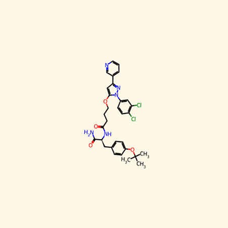 CC(C)(C)Oc1ccc(C[C@H](NC(=O)CCCOc2cc(-c3cccnc3)nn2-c2ccc(Cl)c(Cl)c2)C(N)=O)cc1